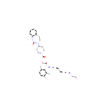 O=C(N=C=C=CC=C=C=NCCO)[C@@H](Cc1ccc(O)c(Br)c1)OC(=O)N1CCC(N2CCc3ccccc3NC2=O)CC1